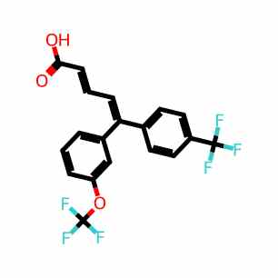 O=C(O)C=CC=C(c1ccc(C(F)(F)F)cc1)c1cccc(OC(F)(F)F)c1